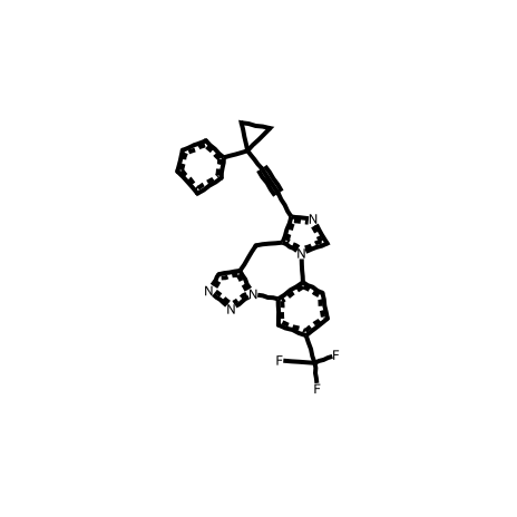 FC(F)(F)c1ccc2c(c1)-n1nncc1Cc1c(C#CC3(c4ccccc4)CC3)ncn1-2